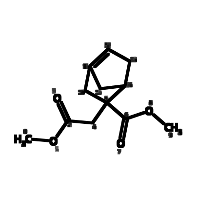 COC(=O)CC1(C(=O)OC)CC2=CCC1C2